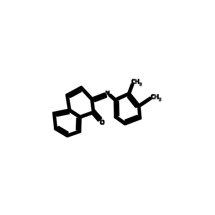 Cc1cccc(N=C2C=Cc3ccccc3C2=O)c1C